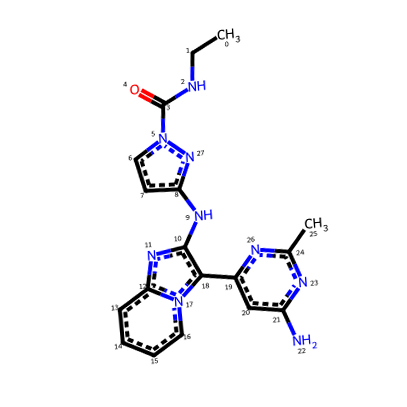 CCNC(=O)n1ccc(Nc2nc3ccccn3c2-c2cc(N)nc(C)n2)n1